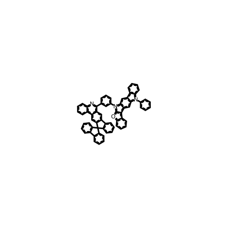 c1ccc(-n2c3ccccc3c3cc4c(cc32)c2c3ccccc3oc2n4-c2cccc(-c3nc4ccccc4c4cc5c(cc34)-c3ccccc3C53c4ccccc4-c4ccccc43)c2)cc1